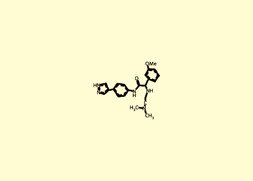 COc1cccc(C(NCCN(C)C)C(=O)Nc2ccc(-c3cn[nH]c3)cc2)c1